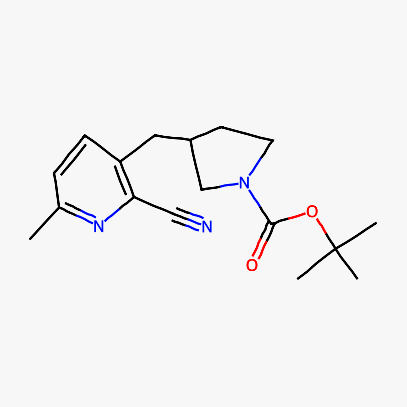 Cc1ccc(CC2CCN(C(=O)OC(C)(C)C)C2)c(C#N)n1